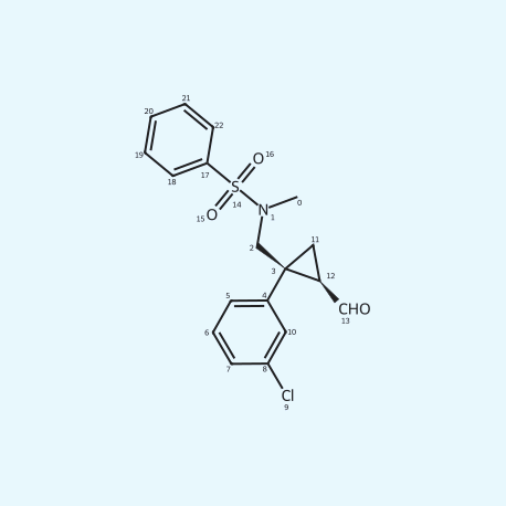 CN(C[C@@]1(c2cccc(Cl)c2)C[C@H]1C=O)S(=O)(=O)c1ccccc1